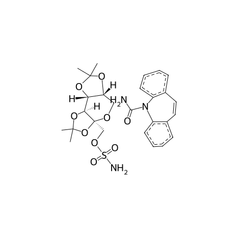 CC1(C)O[C@@H]2[C@@H](CO[C@@]3(COS(N)(=O)=O)OC(C)(C)O[C@@H]23)O1.NC(=O)N1c2ccccc2C=Cc2ccccc21